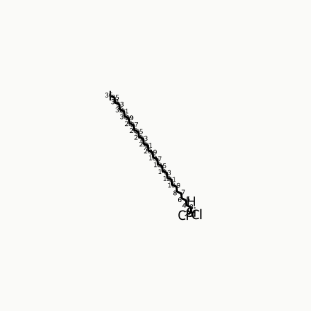 Cl[SiH](Cl)CCCCCCCCCCCCCCCCCCCCCCCCCCCCCCCCCI